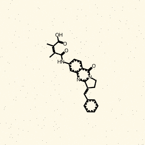 C/C(C(=O)O)=C(\C)C(=O)Nc1ccc2c(=O)n3c(nc2c1)C(=Cc1ccccc1)CC3